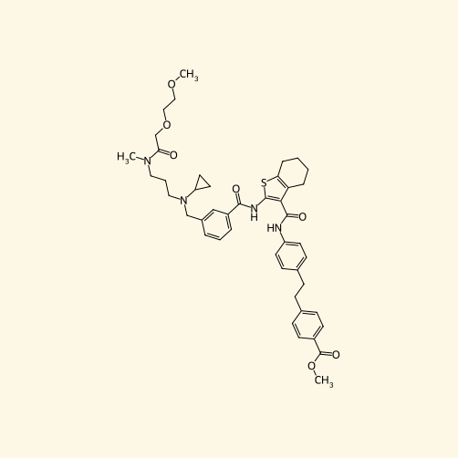 COCCOCC(=O)N(C)CCCN(Cc1cccc(C(=O)Nc2sc3c(c2C(=O)Nc2ccc(CCc4ccc(C(=O)OC)cc4)cc2)CCCC3)c1)C1CC1